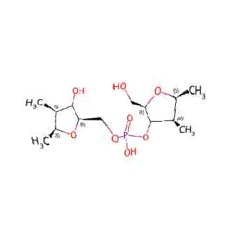 C[C@@H]1O[C@H](COP(=O)(O)OC2[C@@H](CO)O[C@@H](C)[C@H]2C)C(O)[C@@H]1C